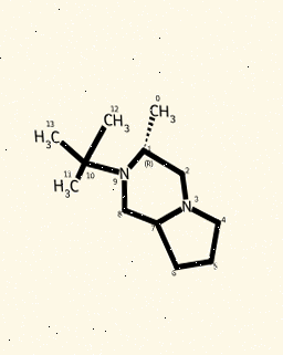 C[C@@H]1CN2CCCC2CN1C(C)(C)C